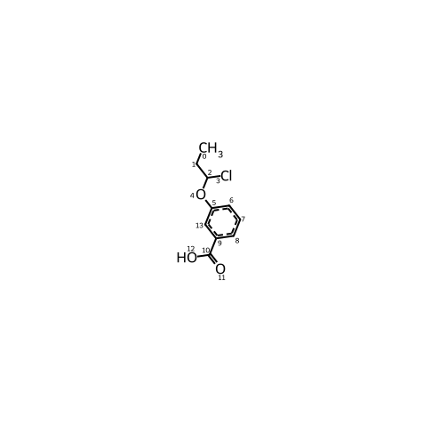 CCC(Cl)Oc1cccc(C(=O)O)c1